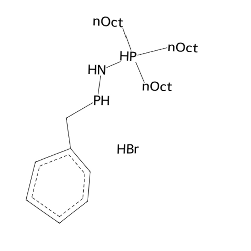 Br.CCCCCCCC[PH](CCCCCCCC)(CCCCCCCC)NPCc1ccccc1